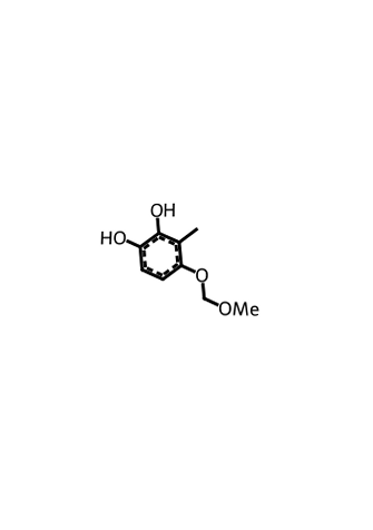 COCOc1ccc(O)c(O)c1C